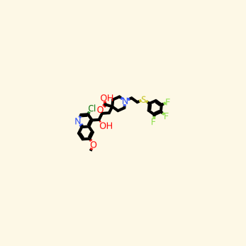 COc1ccc2ncc(Cl)c([C@H](O)CCC3(C(=O)O)CCN(CCSc4cc(F)c(F)c(F)c4)CC3)c2c1